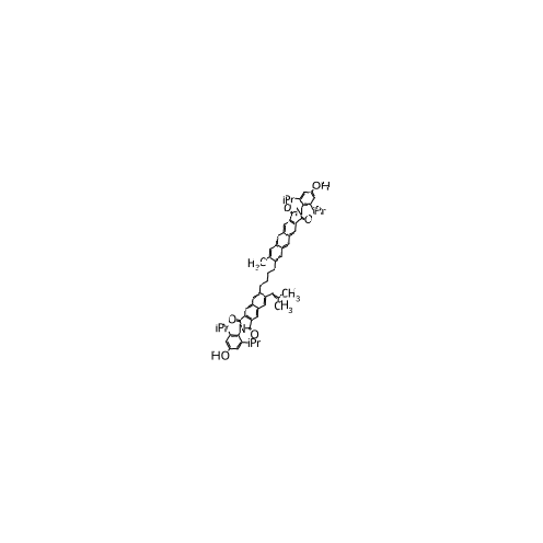 CC(C)=Cc1cc2cc3c(cc2cc1CCCCc1cc2cc4cc5c(cc4cc2cc1C)C(=O)N(c1c(C(C)C)cc(O)cc1C(C)C)C5=O)C(=O)N(c1c(C(C)C)cc(O)cc1C(C)C)C3=O